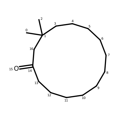 CC1(C)CCCCCCCCCCCC(=O)C1